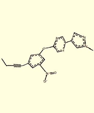 CCC#Cc1cc(Oc2cnc(-c3cnn(C)c3)cn2)cc([N+](=O)[O-])c1